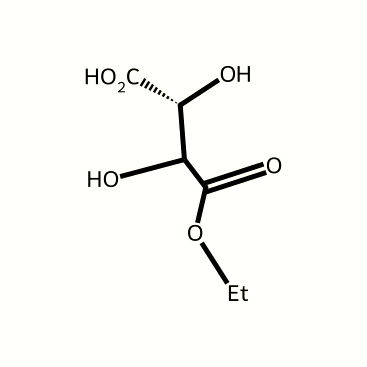 CCOC(=O)C(O)[C@@H](O)C(=O)O